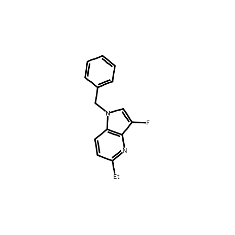 CCc1ccc2c(n1)c(F)cn2Cc1ccccc1